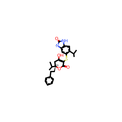 CC(C)c1cc2c(cc1SC1=C(O)C[C@@](CCc3ccccc3)(C(C)C)OC1=O)[N]C(=O)N2